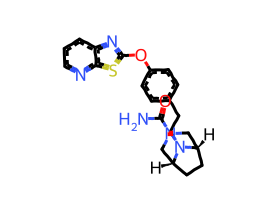 NC(=O)N1C[C@H]2CC[C@@H](C1)N2CCc1ccc(Oc2nc3cccnc3s2)cc1